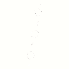 CCCc1ccc(C#Cc2ccc(C#Cc3ccc(CCC)c(F)c3)c(F)c2)cc1